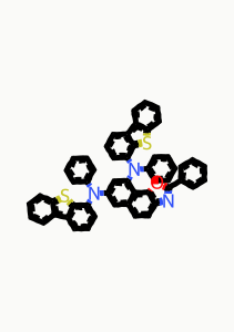 c1ccc(-c2nc3ccc4cc(N(c5ccccc5)c5cccc6c5sc5ccccc56)cc(N(c5ccccc5)c5cccc6c5sc5ccccc56)c4c3o2)cc1